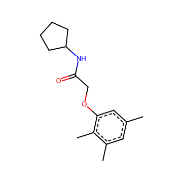 Cc1cc(C)c(C)c(OCC(=O)NC2CCCC2)c1